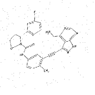 Cc1ccc(NC(=O)N2OCC[C@@H]2c2cccc(F)c2)cc1C#Cc1n[nH]c2ncnc(CN)c12